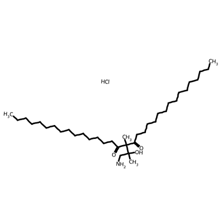 CCCCCCCCCCCCCCCC(=O)C(C)(C(=O)CCCCCCCCCCCCCCC)C(C)(O)CN.Cl